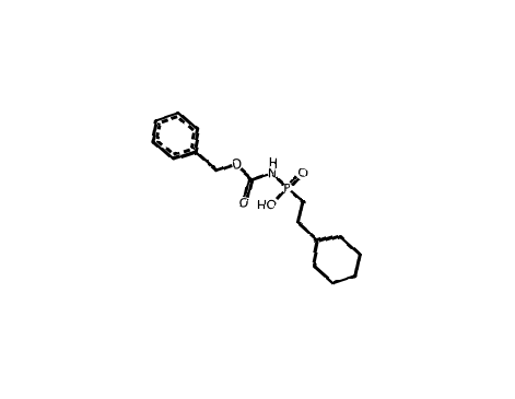 O=C(NP(=O)(O)CCC1CCCCC1)OCc1ccccc1